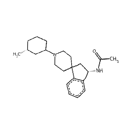 CC(=O)N[C@H]1CC2(CCN(C3CCC[C@@H](C)C3)CC2)c2ccccc21